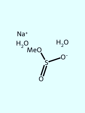 COS(=O)[O-].O.O.[Na+]